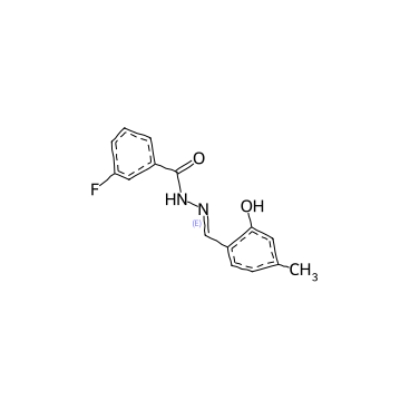 Cc1ccc(/C=N/NC(=O)c2cccc(F)c2)c(O)c1